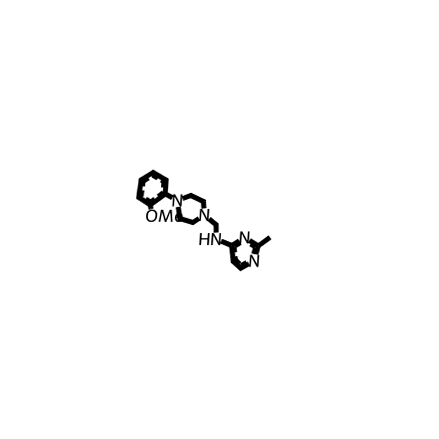 COc1ccccc1N1CCN(CNc2ccnc(C)n2)CC1